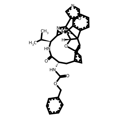 CC(C)[C@@H]1NC(=O)[C@@H](NC(=O)OCc2ccccc2)Cc2ccc3c(c2)C2(c4ccccc4N[C@H]2O3)c2oc1nc2-c1cnco1